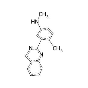 CNc1ccc(C)c(-c2ncc3ccccc3n2)c1